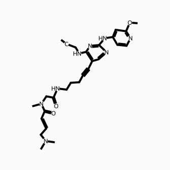 CCCNc1nc(Nc2ccnc(OC)c2)ncc1C#CCCCNC(=O)CN(C)C(=O)C=CCN(C)C